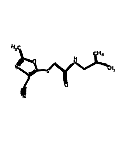 Cc1nc(C#N)c(SCC(=O)NCC(C)C)o1